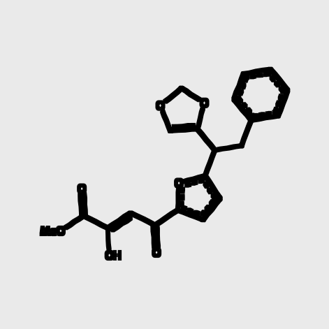 COC(=O)C(O)=CC(=O)c1ccc(C(Cc2ccccc2)C2=COCO2)o1